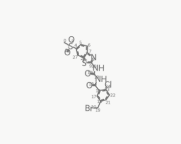 CS(=O)(=O)c1ccc2nc(NC(=O)NC(=O)c3cc(CBr)ccc3Cl)sc2c1